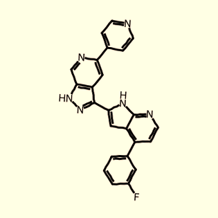 Fc1cccc(-c2ccnc3[nH]c(-c4n[nH]c5cnc(-c6ccncc6)cc45)cc23)c1